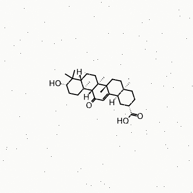 CC1(C)[C@@H](O)CC[C@]2(C)[C@H]3C(=O)C=C4[C@@H]5C[C@@H](C(=O)O)CC[C@]5(C)CC[C@@]4(C)[C@]3(C)CC[C@@H]12